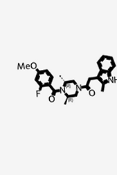 COc1ccc(C(=O)N2[C@H](C)CN(C(=O)Cc3c(C)[nH]c4ccccc34)C[C@H]2C)c(F)c1